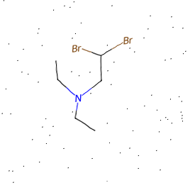 CCN(CC)CC(Br)Br